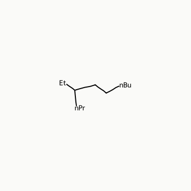 CCCCCCC(CC)CCC